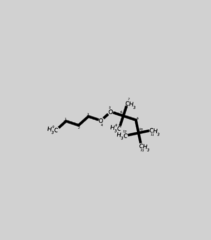 C[CH]CCOOC(C)(C)CC(C)(C)C